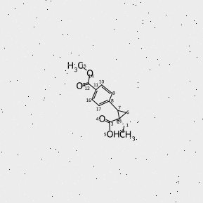 CC[C@@]1(C(=O)O)CC1c1ccc(C(=O)OC)cc1